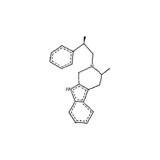 CC1Cc2c([nH]c3ccccc23)CN1C[C@H](C)c1ccccc1